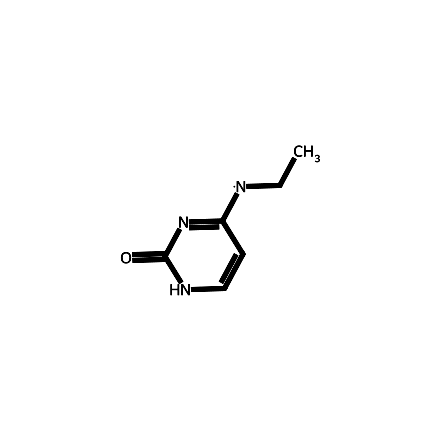 CC[N]c1cc[nH]c(=O)n1